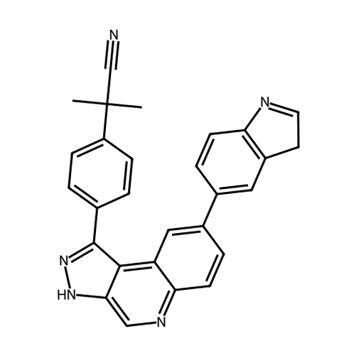 CC(C)(C#N)c1ccc(-c2n[nH]c3cnc4ccc(-c5ccc6c(c5)CC=N6)cc4c23)cc1